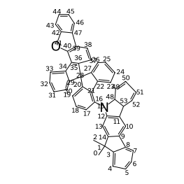 CC1(C)c2ccccc2-c2cc3c(cc21)N(c1cccc2c1-c1ccccc1C21c2ccccc2-c2c1ccc1c2oc2ccccc21)C1C=CC=CC31